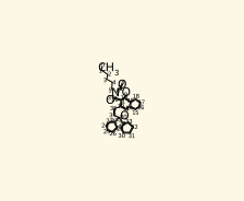 CCCCCCn1c(=O)oc2c(c3c(c4ccccc42)OC(c2ccccc2)(c2ccccc2)C=C3)c1=O